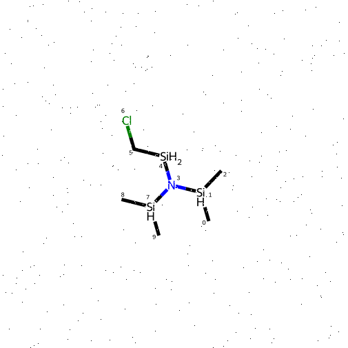 C[SiH](C)N([SiH2]CCl)[SiH](C)C